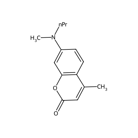 CCCN(C)c1ccc2c(C)cc(=O)oc2c1